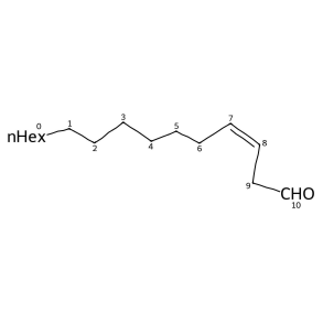 CCCCCCCCCCCC/C=C\CC=O